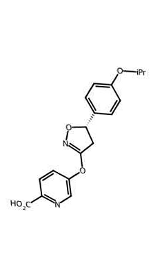 CC(C)Oc1ccc([C@@H]2CC(Oc3ccc(C(=O)O)nc3)=NO2)cc1